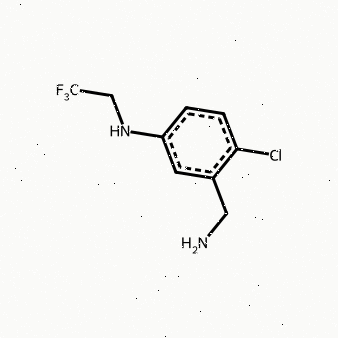 NCc1cc(NCC(F)(F)F)ccc1Cl